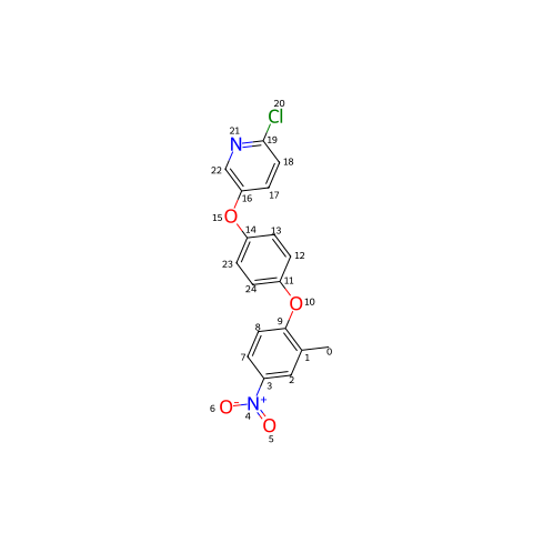 Cc1cc([N+](=O)[O-])ccc1Oc1ccc(Oc2ccc(Cl)nc2)cc1